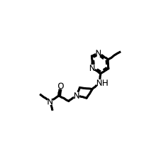 Cc1cc(NC2CN(CC(=O)N(C)C)C2)ncn1